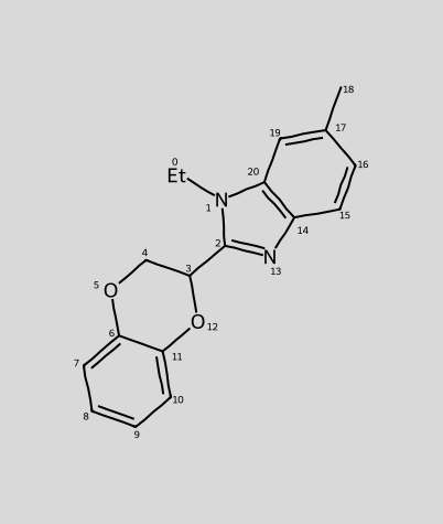 CCn1c(C2COc3ccccc3O2)nc2ccc(C)cc21